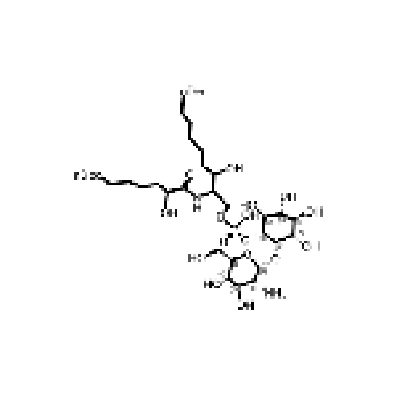 CCCCCCCCCCCCCCCC(O)C(COP(=O)(O)O[C@@H]1[C@@H](O)[C@H](O)[C@@H](O)[C@H](O)[C@@H]1O[C@H]1O[C@H](CO)[C@@H](O)[C@H](O)[C@H]1N)NC(=O)C(O)CCCCCCCCCCCCCC